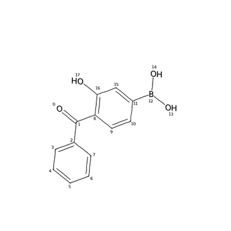 O=C(c1ccccc1)c1ccc(B(O)O)cc1O